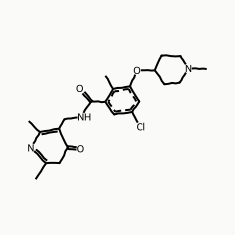 CC1=NC(C)=C(CNC(=O)c2cc(Cl)cc(OC3CCN(C)CC3)c2C)C(=O)C1